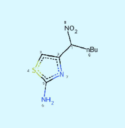 CCCCC(c1csc(N)n1)[N+](=O)[O-]